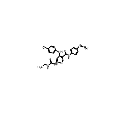 CCNC(=O)Nc1cc(Nc2ccc(Cl)cc2)c(C(=O)Nc2ccc(N=[N+]=[N-])cc2)cn1